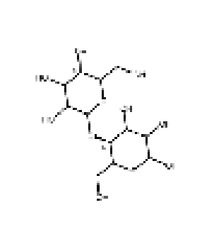 OCC1OC(O[C@@H]2C(CO)SC(O)C(O)C2O)C(O)C(O)[C@H]1O